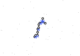 c1ccc(-c2nc(-c3ccccc3)nc(-c3ccc4ccc(-c5ccc6nc(-c7ccc(-c8ccnc9c8ccc8cccnc89)cc7)ccc6c5)cc4n3)n2)cc1